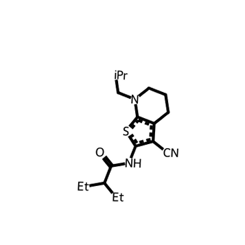 CCC(CC)C(=O)Nc1sc2c(c1C#N)CCCN2CC(C)C